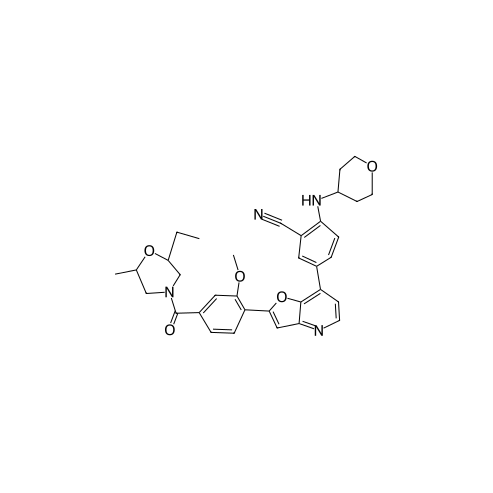 CCC1CN(C(=O)c2ccc(-c3cc4nccc(-c5ccc(NC6CCOCC6)c(C#N)c5)c4o3)c(OC)c2)CC(C)O1